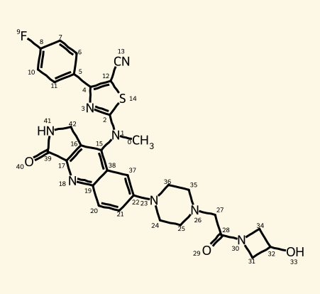 CN(c1nc(-c2ccc(F)cc2)c(C#N)s1)c1c2c(nc3ccc(N4CCN(CC(=O)N5CC(O)C5)CC4)cc13)C(=O)NC2